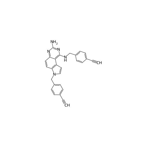 C#Cc1ccc(CNc2nc(N)nc3ccc4c(ccn4Cc4ccc(C#C)cc4)c23)cc1